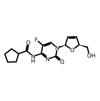 O=C(Nc1nc(=O)n([C@H]2C=C[C@@H](CO)O2)cc1F)C1CCCC1